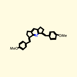 COc1ccc(C=C2CCc3cc4c(nc32)C(=Cc2ccc(OC)cc2)CC4)cc1